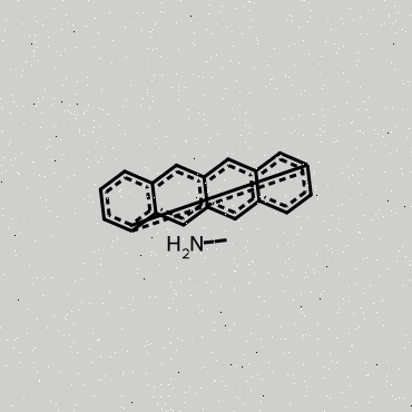 CN.c1cc2cc3cc4cc5ccc4cc3cc2c5c1